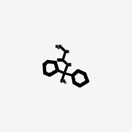 NNC(=S)NC(P)(c1ccccc1)c1ccccc1